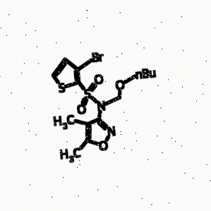 CCCCOCN(c1noc(C)c1C)S(=O)(=O)c1sccc1Br